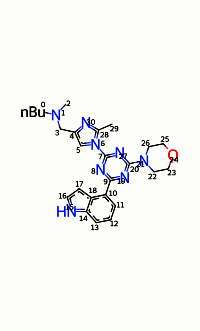 CCCCN(C)Cc1cn(-c2nc(-c3cccc4[nH]ccc34)nc(N3CCOCC3)n2)c(C)n1